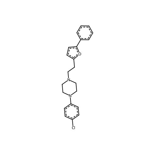 Clc1ccc(N2CCN(CCc3ccc(-c4ccccc4)o3)CC2)cc1